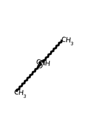 CCCCCCCCCCCCCCCCCCOC(=O)NCCCCCCCCCCCCCCCC